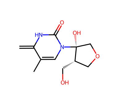 C=C1NC(=O)N([C@@]2(O)COC[C@@H]2CO)C=C1C